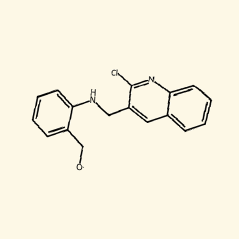 [O]Cc1ccccc1NCc1cc2ccccc2nc1Cl